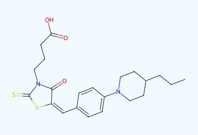 CCCC1CCN(c2ccc(C=C3SC(=S)N(CCCC(=O)O)C3=O)cc2)CC1